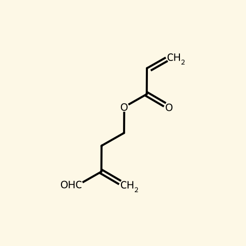 C=CC(=O)OCCC(=C)C=O